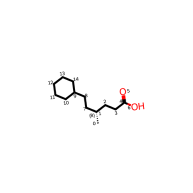 C[C@@H](CCC(=O)O)CCC1CCCCC1